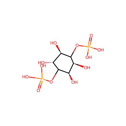 O=P(O)(O)OC1[C@@H](O)[C@@H](O)C(OP(=O)(O)O)[C@H](O)[C@H]1O